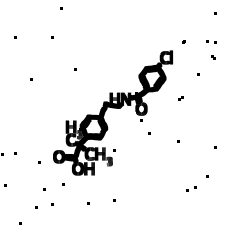 CC(C)(C(=O)O)c1ccc(CCNC(=O)c2ccc(Cl)cc2)cc1